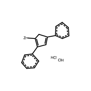 Cl.Cl.[Zr][C]1=C(c2ccccc2)C=C(c2ccccc2)C1